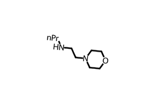 CCCNCCN1CCOCC1